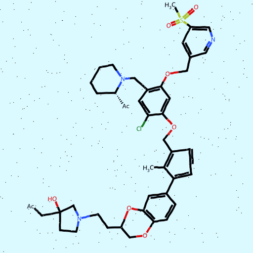 CC(=O)CC1(O)CCN(CCC2COc3ccc(-c4cccc(COc5cc(OCc6cncc(S(C)(=O)=O)c6)c(CN6CCCC[C@H]6C(C)=O)cc5Cl)c4C)cc3O2)C1